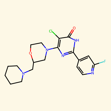 O=c1[nH]c(-c2ccnc(F)c2)nc(N2CCOC(CN3CCCCC3)C2)c1Cl